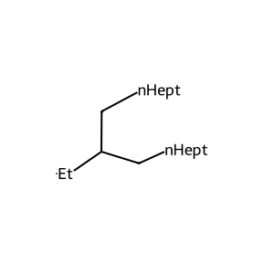 C[CH]C(CCCCCCCC)CCCCCCCC